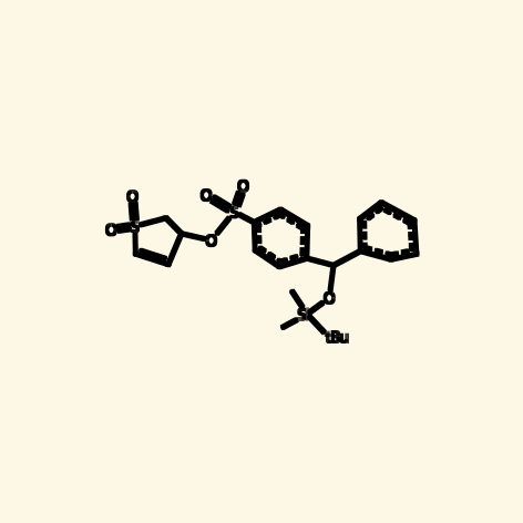 CC(C)(C)[Si](C)(C)OC(c1ccccc1)c1ccc(S(=O)(=O)OC2C=CS(=O)(=O)C2)cc1